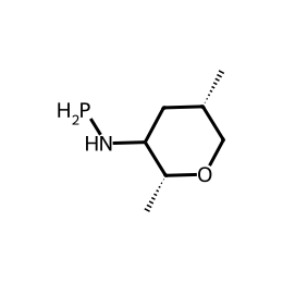 C[C@@H]1CO[C@H](C)C(NP)C1